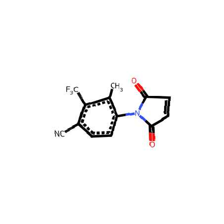 Cc1c(N2C(=O)C=CC2=O)ccc(C#N)c1C(F)(F)F